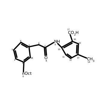 CCCCCCCCc1cccc(CC(=O)Nc2ccc(C)cc2C(=O)O)c1